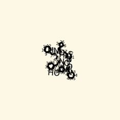 O=C(N[C@@H](CC[C@@H](Cc1ccccc1)NC(OCc1cncs1)=C1CCC1)Cc1ccccc1)[C@@H]1C[C@@H](O)CN1C(=O)N1CCCCC1